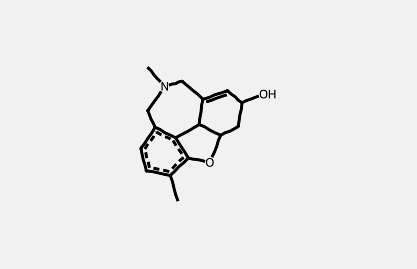 Cc1ccc2c3c1OC1CC(O)C=C(CN(C)C2)C31